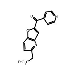 CCOC(=O)Cc1ccc2oc(C(=O)c3ccncc3)cc2n1